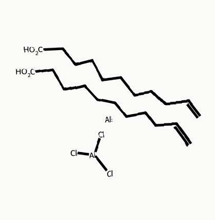 C=CCCCCCCCCC(=O)O.C=CCCCCCCCCC(=O)O.[Al].[Cl][Al]([Cl])[Cl]